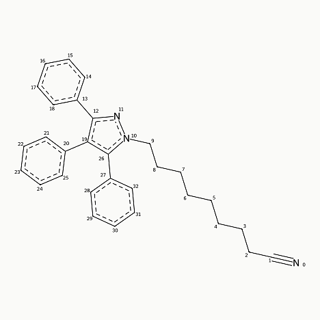 N#CCCCCCCCCn1nc(-c2ccccc2)c(-c2ccccc2)c1-c1ccccc1